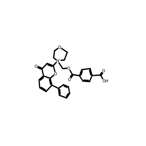 O=C(O)c1ccc(C(=O)OC[N+]2(c3cc(=O)c4cccc(-c5ccccc5)c4o3)CCOCC2)cc1